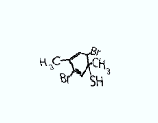 CC1=CC(Br)C(C)(S)C=C1Br